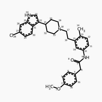 COc1ccc(CC(=O)Nc2ccc(C)c(CCN3CCC(c4c[nH]c5cc(Cl)ccc45)CC3)c2)cc1